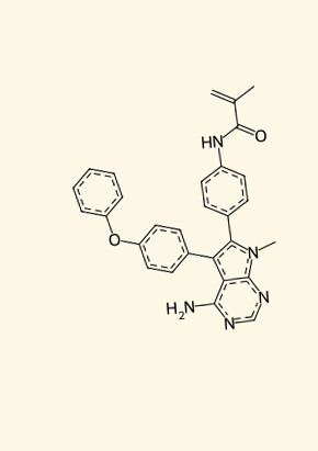 C=C(C)C(=O)Nc1ccc(-c2c(-c3ccc(Oc4ccccc4)cc3)c3c(N)ncnc3n2C)cc1